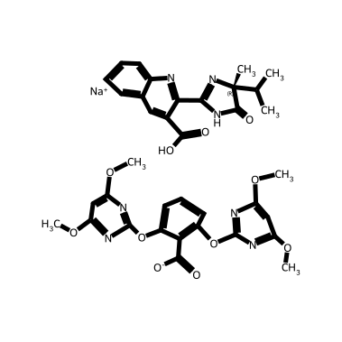 CC(C)[C@@]1(C)N=C(c2nc3ccccc3cc2C(=O)O)NC1=O.COc1cc(OC)nc(Oc2cccc(Oc3nc(OC)cc(OC)n3)c2C(=O)[O-])n1.[Na+]